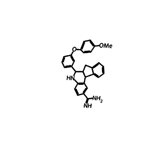 COc1ccc(Oc2cccc(C3Nc4ccc(C(=N)N)cc4C4c5ccccc5CC34)c2)cc1